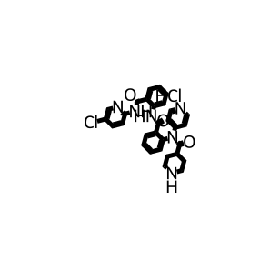 Cl.O=C(Nc1ccc(Cl)cn1)c1ccccc1NC(=O)c1ccccc1N(C(=O)C1CCNCC1)c1ccncc1